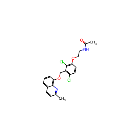 CC(=O)NCCOc1ccc(Cl)c(COc2cccc3ccc(C)nc23)c1Cl